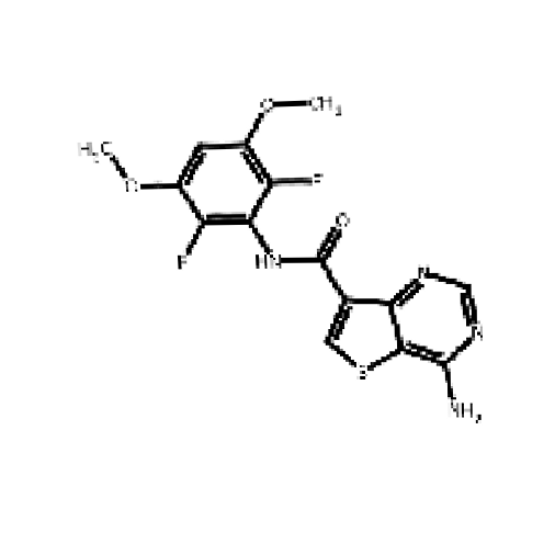 COc1cc(OC)c(F)c(NC(=O)c2csc3c(N)ncnc23)c1F